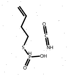 C=CCCS[PH](=O)O.N=C=O